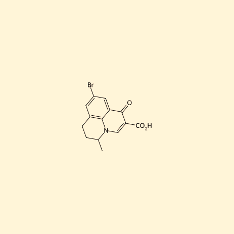 CC1CCc2cc(Br)cc3c(=O)c(C(=O)O)cn1c23